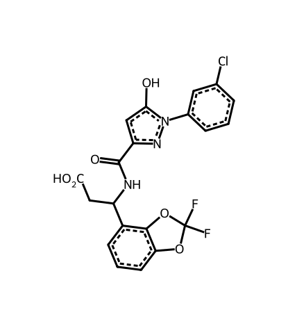 O=C(O)CC(NC(=O)c1cc(O)n(-c2cccc(Cl)c2)n1)c1cccc2c1OC(F)(F)O2